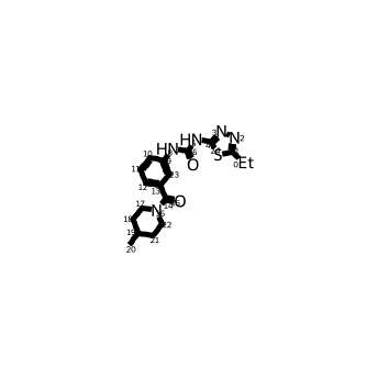 CCc1nnc(NC(=O)Nc2cccc(C(=O)N3CCC(C)CC3)c2)s1